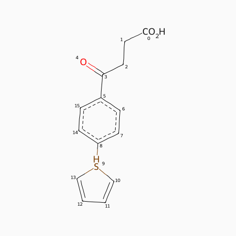 O=C(O)CCC(=O)c1ccc([SH]2C=CC=C2)cc1